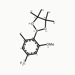 COc1cc(C(F)(F)F)cc(C)c1B1OC(C)(C)C(C)(C)O1